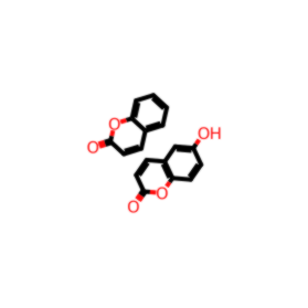 O=c1ccc2cc(O)ccc2o1.O=c1ccc2ccccc2o1